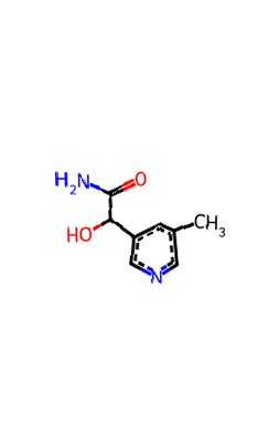 Cc1cncc(C(O)C(N)=O)c1